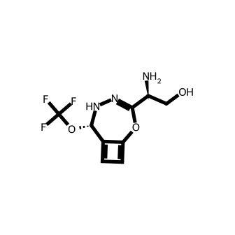 N[C@@H](CO)C1=NN[C@@H](OC(F)(F)F)C2=CC=C2O1